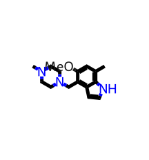 COc1cc(C)c2[nH]ccc2c1CN1CCN(C)CC1